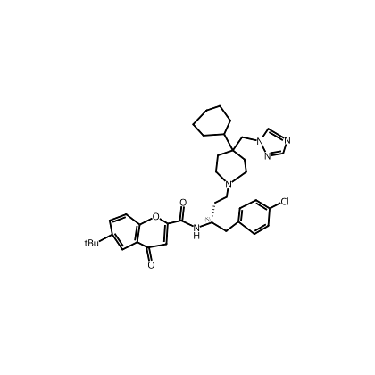 CC(C)(C)c1ccc2oc(C(=O)N[C@H](CCN3CCC(Cn4cncn4)(C4CCCCC4)CC3)Cc3ccc(Cl)cc3)cc(=O)c2c1